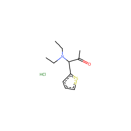 CCN(CC)C(C(C)=O)c1cccs1.Cl